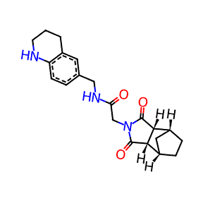 O=C(CN1C(=O)[C@@H]2[C@@H]3CC[C@@H](C3)[C@@H]2C1=O)NCc1ccc2c(c1)CCCN2